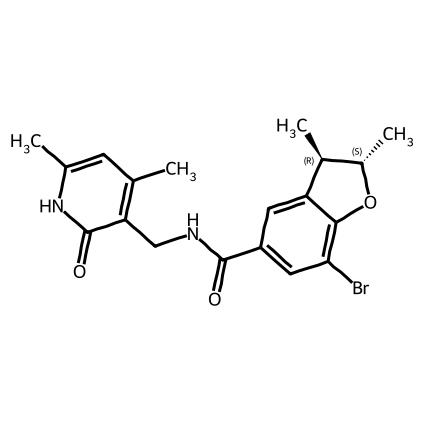 Cc1cc(C)c(CNC(=O)c2cc(Br)c3c(c2)[C@@H](C)[C@H](C)O3)c(=O)[nH]1